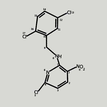 O=[N+]([O-])c1ccc(Cl)nc1NCc1cc(Cl)ccc1Cl